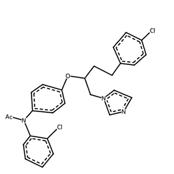 CC(=O)N(c1ccc(OC(CCc2ccc(Cl)cc2)Cn2ccnc2)cc1)c1ccccc1Cl